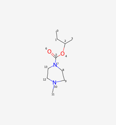 CCC(C)OC(=O)N1CCN(C)CC1